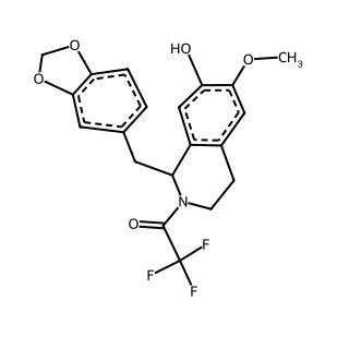 COc1cc2c(cc1O)C(Cc1ccc3c(c1)OCO3)N(C(=O)C(F)(F)F)CC2